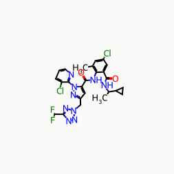 Cc1cc(Cl)cc(C(=O)NC(C)C2CC2)c1NC(=O)c1cc(Cn2nnc(C(F)F)n2)nn1-c1ncccc1Cl